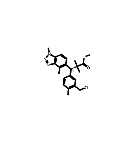 COC(=O)C(C)(C)[C@@H](c1ccc(C)c(CCl)c1)c1ccc2c(nnn2C)c1C